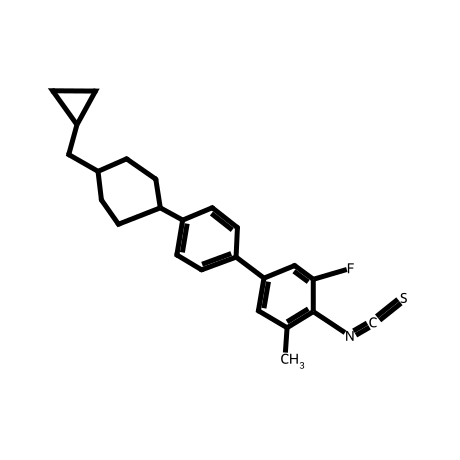 Cc1cc(-c2ccc(C3CCC(CC4CC4)CC3)cc2)cc(F)c1N=C=S